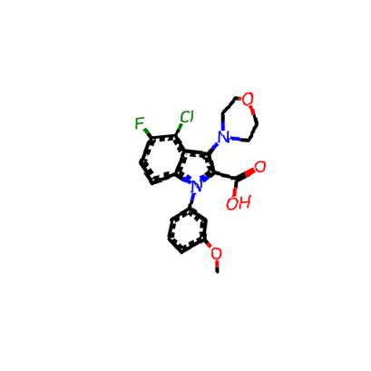 COc1cccc(-n2c(C(=O)O)c(N3CCOCC3)c3c(Cl)c(F)ccc32)c1